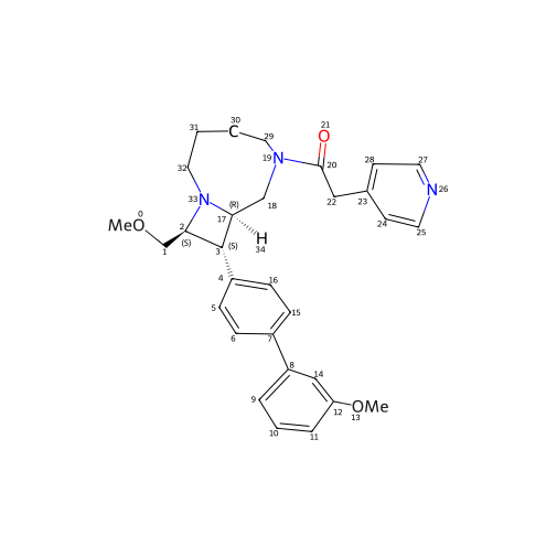 COC[C@@H]1[C@@H](c2ccc(-c3cccc(OC)c3)cc2)[C@@H]2CN(C(=O)Cc3ccncc3)CCCCN12